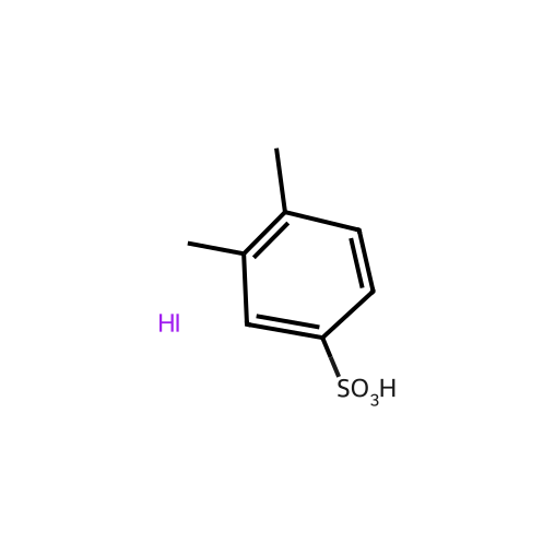 Cc1ccc(S(=O)(=O)O)cc1C.I